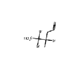 C=CCC(C)(Br)C(Br)(Br)C(=O)O